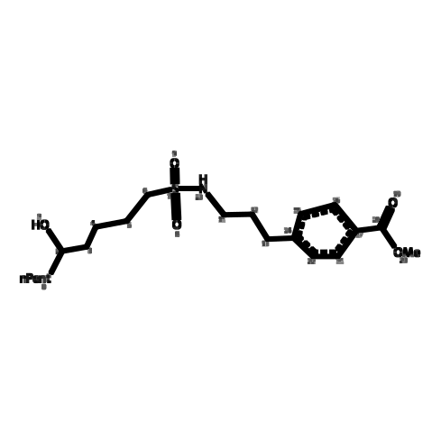 CCCCCC(O)CCCCS(=O)(=O)NCCCc1ccc(C(=O)OC)cc1